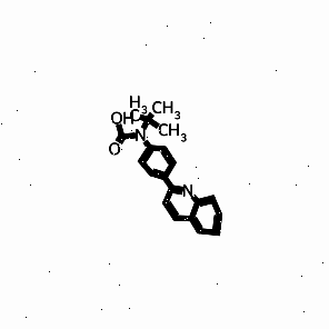 CC(C)(C)N(C(=O)O)c1ccc(-c2ccc3ccccc3n2)cc1